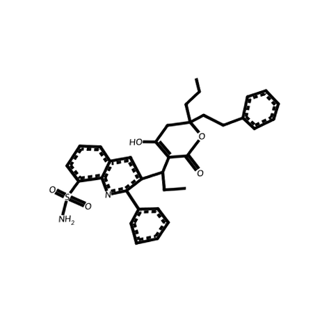 CCCC1(CCc2ccccc2)CC(O)=C(C(CC)c2cc3cccc(S(N)(=O)=O)c3nc2-c2ccccc2)C(=O)O1